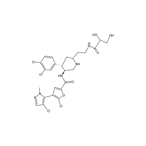 Cn1ncc(Cl)c1-c1cc(C(=O)N[C@@H]2CNC(CCNC(=O)C(O)CO)C[C@H]2c2ccc(Cl)c(Cl)c2)oc1Cl